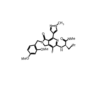 CNC(=O)[C@@H](CC(C)C)Nc1nc(-c2cnn(C)c2)c2c(c1F)CN(Cc1ccc(OC)cc1OC)C2=O